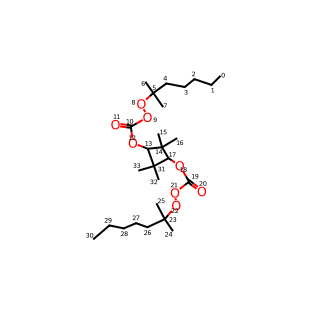 CCCCCC(C)(C)OOC(=O)OC1C(C)(C)C(OC(=O)OOC(C)(C)CCCCC)C1(C)C